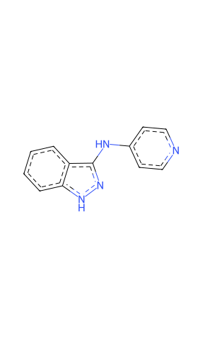 c1ccc2c(Nc3ccncc3)n[nH]c2c1